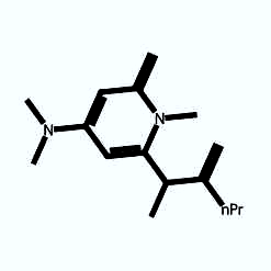 C=C(CCC)C(C)C1=CC(N(C)C)=CC(=C)N1C